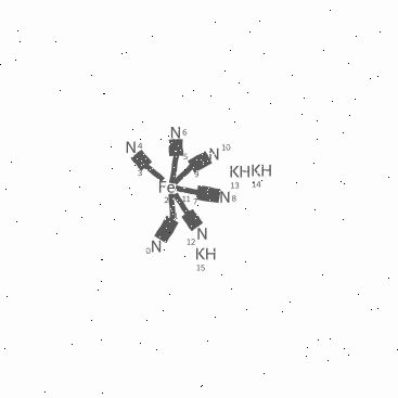 N#[C][Fe]([C]#N)([C]#N)([C]#N)([C]#N)[C]#N.[KH].[KH].[KH]